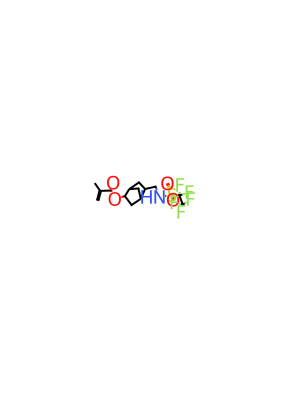 C=C(C)C(=O)OC1CC2CC1CC2CNS(=O)(=O)C(F)(F)C(F)(F)F